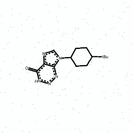 CC(C)(C)C1CCC(n2cnc3c(=O)[nH]nnc32)CC1